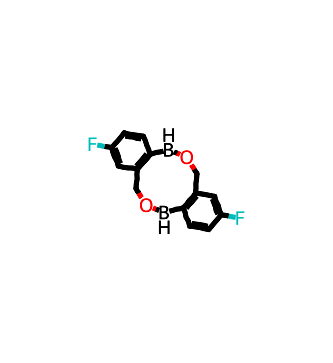 Fc1ccc2c(c1)COBc1ccc(F)cc1COB2